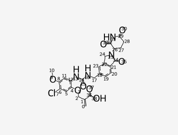 C=C(COc1cc(Cl)c(OC)cc1NC(=O)NCc1ccc2c(c1)CN(C1CCC(=O)NC1=O)C2=O)C(=O)O